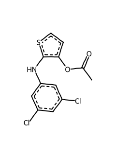 CC(=O)Oc1ccsc1Nc1cc(Cl)cc(Cl)c1